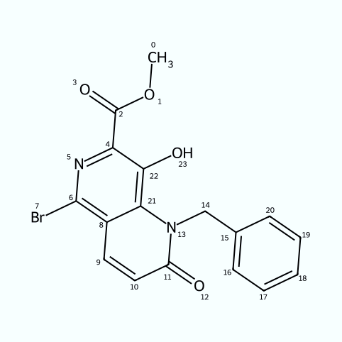 COC(=O)c1nc(Br)c2ccc(=O)n(Cc3ccccc3)c2c1O